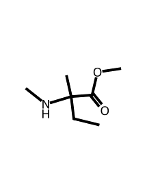 CCC(C)(NC)C(=O)OC